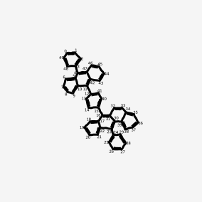 c1ccc(-c2c3ccccc3c(-c3ccc(-c4c5ccccc5c(-c5ccccc5)c5c4ccc4ccccc45)cc3)c3ccccc23)cc1